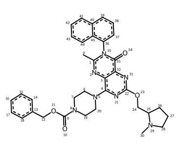 Cc1nc2c(N3CCN(C(=O)OCc4ccccc4)CC3)nc(OCC3CCCN3C)nc2c(=O)n1-c1cccc2ccccc12